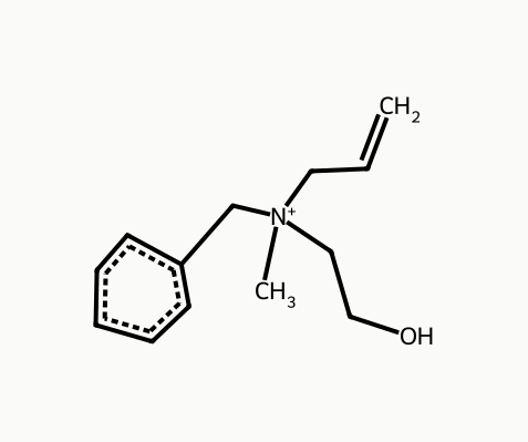 C=CC[N+](C)(CCO)Cc1ccccc1